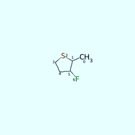 CC1SCCC1F